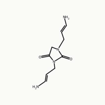 NC=CCN1CC(=O)N(CC=CN)C1=O